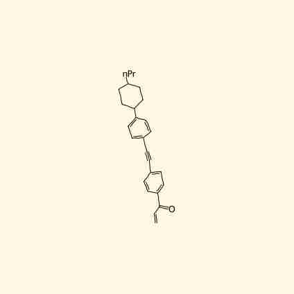 C=CC(=O)c1ccc(C#Cc2ccc(C3CCC(CCC)CC3)cc2)cc1